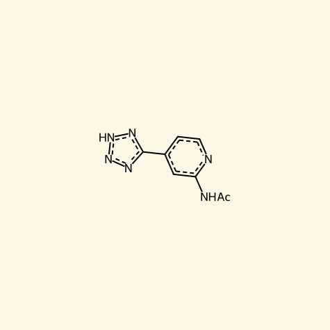 CC(=O)Nc1cc(-c2nn[nH]n2)ccn1